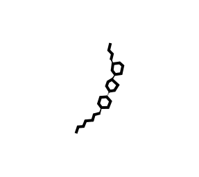 CCCCCCC[C@H]1CC[C@H](C2CCC([C@@H]3CCC[C@H](CCCC)C3)CC2)CC1